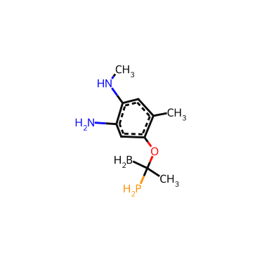 BC(C)(P)Oc1cc(N)c(NC)cc1C